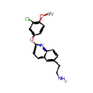 CC(C)Oc1ccc(Oc2ccc3cc(CCN)ccc3n2)cc1Cl